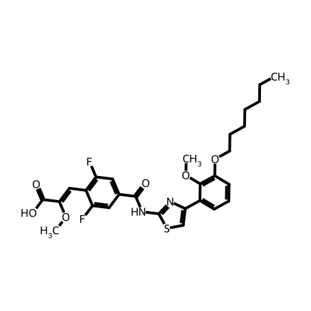 CCCCCCCOc1cccc(-c2csc(NC(=O)c3cc(F)c(/C=C(\OC)C(=O)O)c(F)c3)n2)c1OC